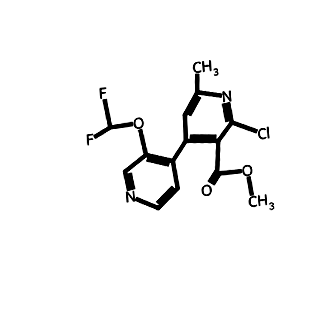 COC(=O)c1c(-c2ccncc2OC(F)F)cc(C)nc1Cl